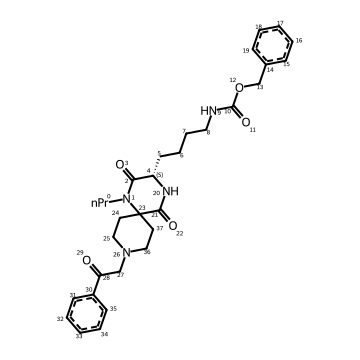 CCCN1C(=O)[C@H](CCCCNC(=O)OCc2ccccc2)NC(=O)C12CCN(CC(=O)c1ccccc1)CC2